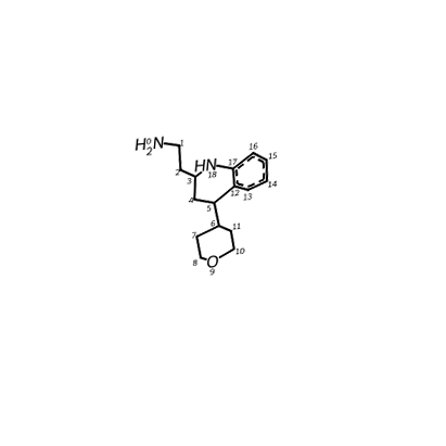 NCCC1CC(C2CCOCC2)c2ccccc2N1